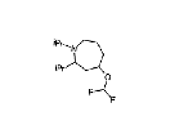 CC(C)C1CC(OC(F)F)CCCN1C(C)C